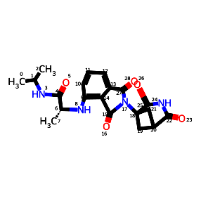 CC(C)NC(=O)[C@@H](C)Nc1cccc2c1C(=O)N(C13CC(C1)C(=O)NC3=O)C2=O